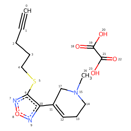 C#CCCCSc1nonc1C1=CCCN(C)C1.O=C(O)C(=O)O